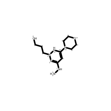 NNC1=NN(CCCO)NC(N2CCOCC2)=C1